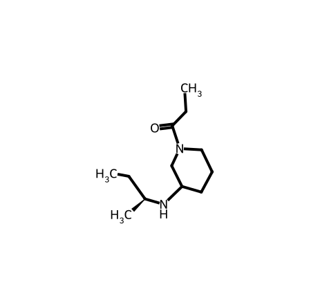 CCC(=O)N1CCCC(N[C@@H](C)CC)C1